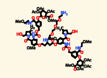 C=C1CC(CO)N(C(=O)c2cc(OC)c(OCCC(CCOc3cc(NC(=O)OCc4ccc(O[C@@H]5C[C@H](C(=O)OC)[C@@H](OC(C)=O)[C@H](OC(C)=O)[C@H]5OC(C)=O)c(C(=O)NCCOC)c4)c(C(=O)N4CC(=C)CC4CO)cc3OC)NC(=O)COCCOCCOCCN)cc2NC(=O)OCc2ccc(O[C@@H]3O[C@H](C(=O)OC)[C@@H](OC(C)=O)[C@H](OC(C)=O)[C@H]3OC(C)=O)c(C(=O)NCCOC)c2)C1